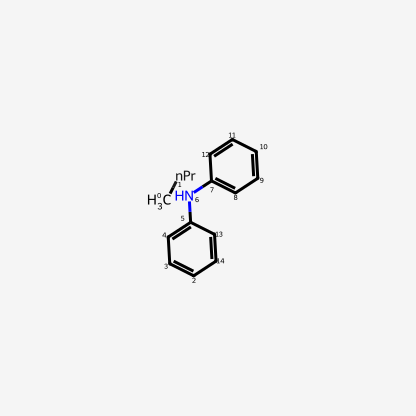 CCCC.c1ccc(Nc2ccccc2)cc1